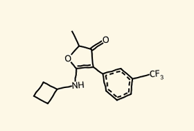 CC1OC(NC2CCC2)=C(c2cccc(C(F)(F)F)c2)C1=O